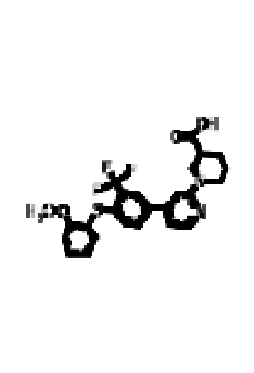 COc1ccccc1Sc1ccc(-c2ccnc(N3CCCC(C(=O)O)C3)c2)cc1C(F)(F)F